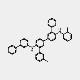 Cc1cccc(-c2cc(-c3ccc(NC4C=CC=CC4C)c(-c4ccccc4)c3)ccc2Nc2cccc(-c3ccccc3)c2)c1